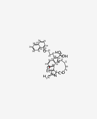 CCc1c2c(nn1C)COCCCCn1c(C(O)O)c(CCCOc3cccc4ccccc34)c3ccc(Cl)c-2c31